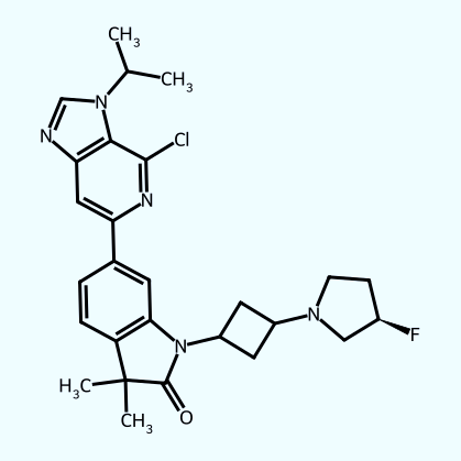 CC(C)n1cnc2cc(-c3ccc4c(c3)N(C3CC(N5CC[C@@H](F)C5)C3)C(=O)C4(C)C)nc(Cl)c21